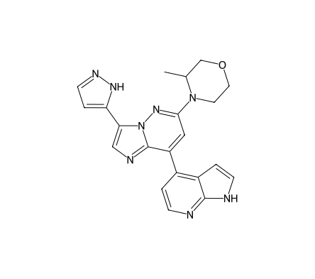 CC1COCCN1c1cc(-c2ccnc3[nH]ccc23)c2ncc(-c3ccn[nH]3)n2n1